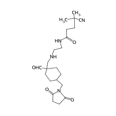 CC(C)(C#N)CCC(=O)NCCNCC1(C=O)CCC(CN2C(=O)CCC2=O)CC1